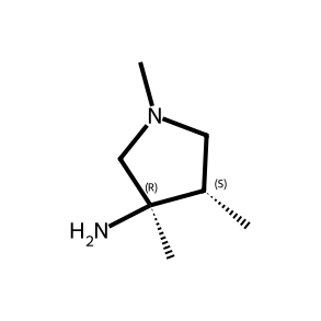 C[C@H]1CN(C)C[C@]1(C)N